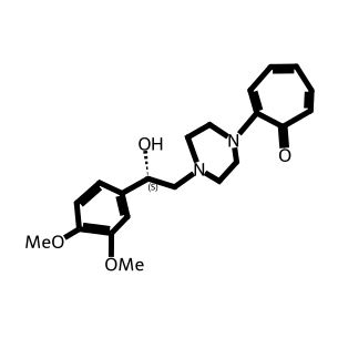 COc1ccc([C@H](O)CN2CCN(c3cccccc3=O)CC2)cc1OC